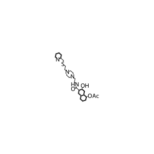 CC(=O)Oc1cccc2cc(C(=O)NCCN3CCN(CCSCc4ccccn4)CC3)c(O)cc12